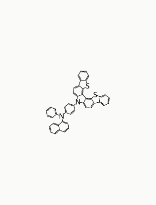 c1ccc(N(c2ccc(-n3c4ccc5c6ccccc6sc5c4c4c5sc6ccccc6c5ccc43)cc2)c2cccc3ccccc23)cc1